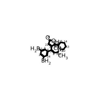 Bc1cc(B)cc(C2=C[C@H](C)N3CCCC[C@@H]3[C@@]3(C)OC(=O)C=C23)c1